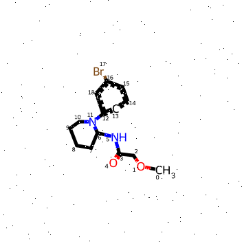 COCC(=O)NC1CCCCN1c1cccc(Br)c1